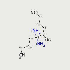 CCC(CCCC#N)C(N)(N)CCCC#N